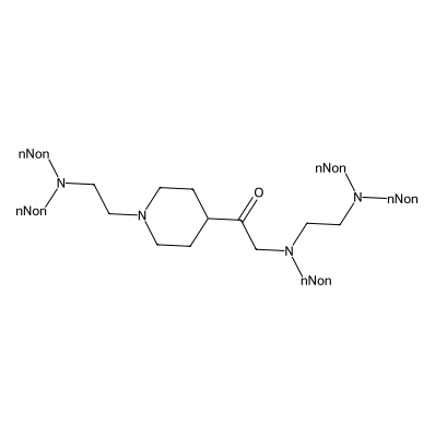 CCCCCCCCCN(CCCCCCCCC)CCN1CCC(C(=O)CN(CCCCCCCCC)CCN(CCCCCCCCC)CCCCCCCCC)CC1